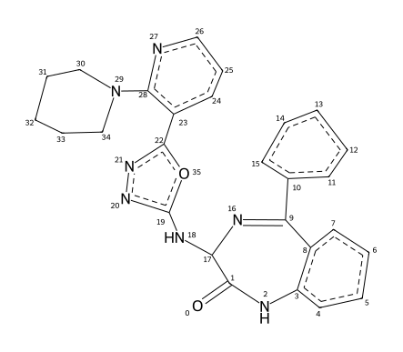 O=C1Nc2ccccc2C(c2ccccc2)=NC1Nc1nnc(-c2cccnc2N2CCCCC2)o1